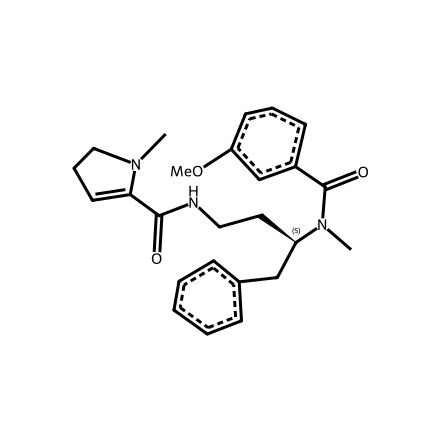 COc1cccc(C(=O)N(C)[C@H](CCNC(=O)C2=CCCN2C)Cc2ccccc2)c1